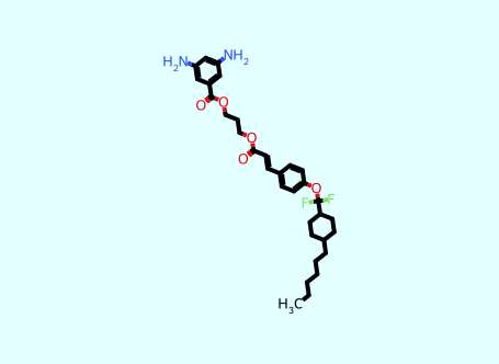 CCCCCCC1CCC(C(F)(F)Oc2ccc(C=CC(=O)OCCCOC(=O)c3cc(N)cc(N)c3)cc2)CC1